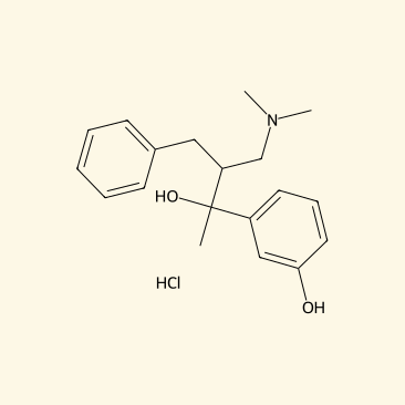 CN(C)CC(Cc1ccccc1)C(C)(O)c1cccc(O)c1.Cl